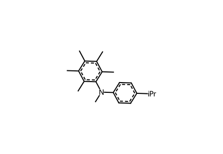 Cc1c(C)c(C)c(N(C)c2ccc(C(C)C)cc2)c(C)c1C